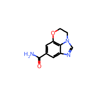 NC(=O)c1cc2c3c(c1)ncn3CCO2